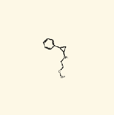 CC(C)(C)OCCNC1CC1c1ccccc1